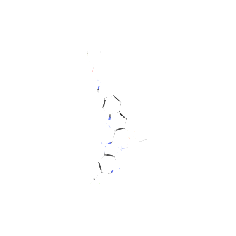 CCS(=O)(=O)c1cc2ccc(/C=N/OC[S+](C)[O-])cc2nc1-c1nc2cc(C(F)(F)F)cnc2n1C